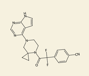 N#Cc1ccc(C(F)(F)C(=O)N2CCN(c3ncnc4[nH]ccc34)CC23CC3)cc1